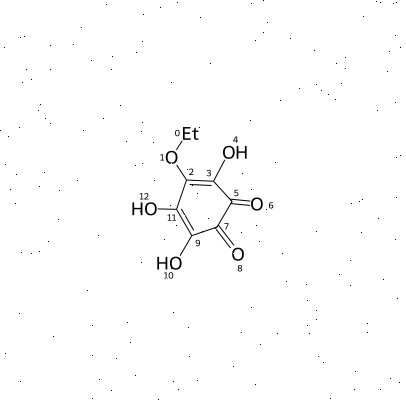 CCOC1=C(O)C(=O)C(=O)C(O)=C1O